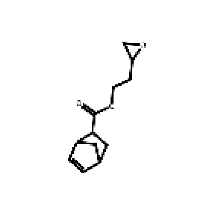 O=C(OCCC1CO1)C1CC2C=CC1C2